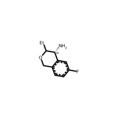 CCC1OCc2ccc(F)cc2[C@H]1N